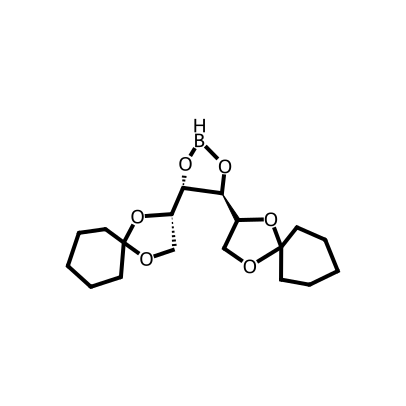 B1O[C@@H]([C@@H]2COC3(CCCCC3)O2)[C@H](C2COC3(CCCCC3)O2)O1